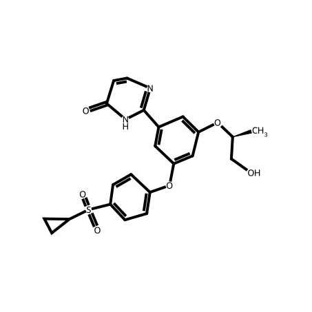 C[C@@H](CO)Oc1cc(Oc2ccc(S(=O)(=O)C3CC3)cc2)cc(-c2nccc(=O)[nH]2)c1